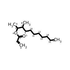 C=CC(=O)OC(C)C(C)CCCCCCCC